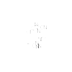 Cc1nc2ccc(Cl)cc2c(N2CCC(C(=O)N3CCn4c(nnc4C(F)(F)F)C3)C(C)C2)c1C#N